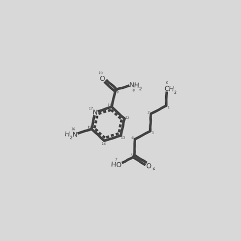 CCCCCC(=O)O.NC(=O)c1cccc(N)n1